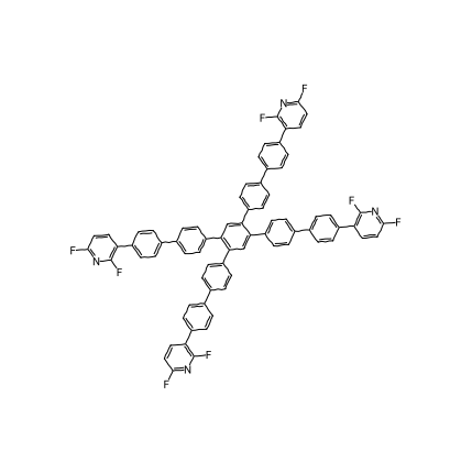 Fc1ccc(-c2ccc(-c3ccc(-c4cc(-c5ccc(-c6ccc(-c7ccc(F)nc7F)cc6)cc5)c(-c5ccc(-c6ccc(-c7ccc(F)nc7F)cc6)cc5)cc4-c4ccc(-c5ccc(-c6ccc(F)nc6F)cc5)cc4)cc3)cc2)c(F)n1